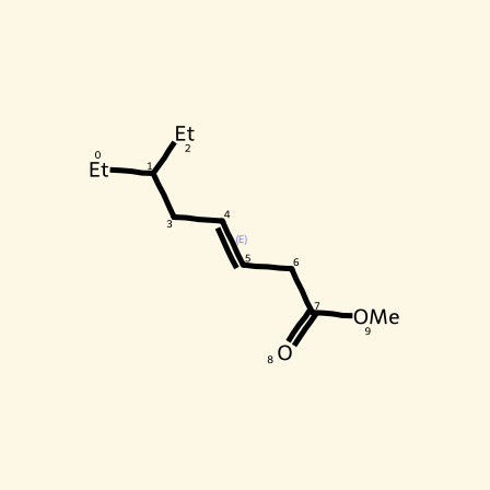 CCC(CC)C/C=C/CC(=O)OC